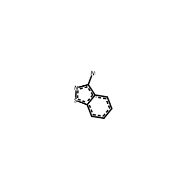 [N]c1nsc2ccccc12